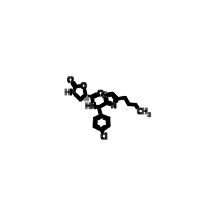 CCCCc1csc(C(NC(=O)[C@@H]2CNC(=O)O2)c2ccc(Cl)cc2)n1